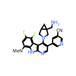 CNc1cc(F)c(F)c2c1[nH]c1ncc(-c3cncc(C#N)c3)c(N3CC4CC4(CN)C3)c12